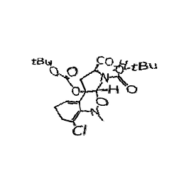 CN1O[C@H]2N(C(=O)OC(C)(C)C)[C@H](C(=O)O)C[C@@]2(OC(=O)OC(C)(C)C)C2=CCCC(Cl)=C21